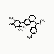 C/N=C(/c1ccc([N+](=O)[O-])cc1)N1CCCc2cc(C3=NN(C)C(=O)SC3(C)C)ccc21